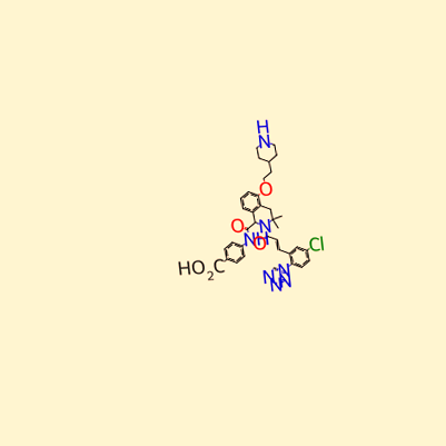 CC1(C)Cc2c(OCCC3CCNCC3)cccc2C(C(=O)Nc2ccc(C(=O)O)cc2)N1C(=O)/C=C/c1cc(Cl)ccc1-n1cnnn1